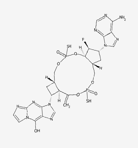 C=C1OP(=O)(S)OC[C@H]2C[C@@H](n3cnc4c(N)ncnc43)[C@H](F)[C@@H]2OP(=O)(S)OC[C@H]2C[C@@H](n3cnc4c(O)n5ccnc5nc43)[C@H]12